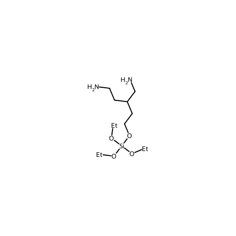 CCO[Si](OCC)(OCC)OCCC(CN)CCN